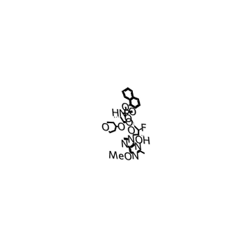 COc1nc(C)nc2c1ncn2[C@@H]1O[C@H](COP(=O)(N[C@@H](C)C(=O)OC2CCOCC2)Oc2cccc3ccccc23)[C@@H](F)[C@@]1(C)O